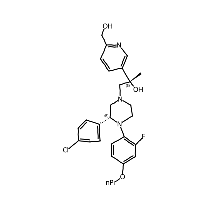 CCCOc1ccc(N2CCN(C[C@@](C)(O)c3ccc(CO)nc3)C[C@H]2c2ccc(Cl)cc2)c(F)c1